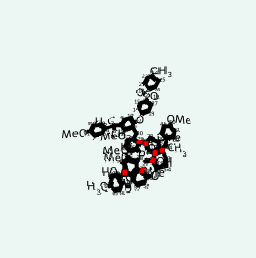 COc1ccc(C(C)(C)C2=C=C=C(Oc3ccc(S(=O)(=O)c4ccc(C)cc4)cc3)C(Cc3c(OC)cc(OC)c([P+](Cc4cc(C(C)(C)c5ccc(OC)cc5)ccc4Oc4ccc(S(=O)(=O)c5ccc(C)cc5)cc4)(c4c(CO)cc(OC)cc4CO)c4c(OC)cc(CO)cc4OC)c3CO)=C2)cc1